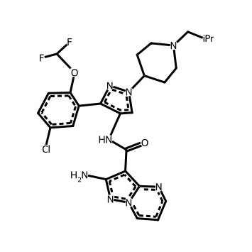 CC(C)CN1CCC(n2cc(NC(=O)c3c(N)nn4cccnc34)c(-c3cc(Cl)ccc3OC(F)F)n2)CC1